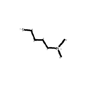 CN(C)CCCC[S]